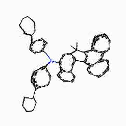 CC1(C)c2cc(N(c3ccc(C4CCCCC4)cc3)c3ccc(C4CCCCC4)cc3)c3ccccc3c2-c2c1c1ccccc1c1ccccc21